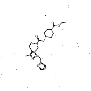 CCOC(=O)[C@H]1CC[C@H](CC(=O)N2CCc3c(C)nn(Cc4cccs4)c3C2)CC1